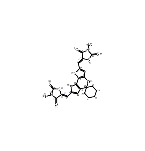 CCN1C(=O)/C(=C/c2cc3c(s2)-c2sc(/C=C4\SC(=S)N(CC)C4=O)cc2C2(CCCCC2)O3)SC1=S